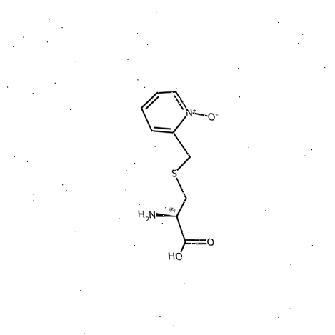 N[C@@H](CSCc1cccc[n+]1[O-])C(=O)O